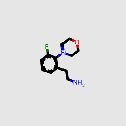 NCCc1cccc(F)c1N1CCOCC1